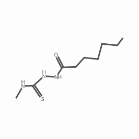 CCCCCCC(=O)NNC(=S)NC